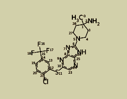 CC1(N)CCN(c2nc3nc(Sc4cc(C(F)(F)F)ccc4Cl)cnc3[nH]2)CC1